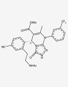 COC(=O)C1=C(C)N(c2cccc(C(F)(F)F)c2)c2n[nH]c(=O)n2[C@@H]1c1ccc(C#N)cc1CCNC(C)=O